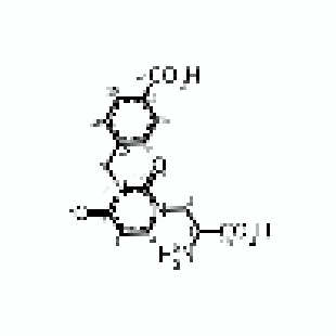 NC(Cn1ccc(=O)n(Cc2ccc(C(=O)O)cc2)c1=O)C(=O)O